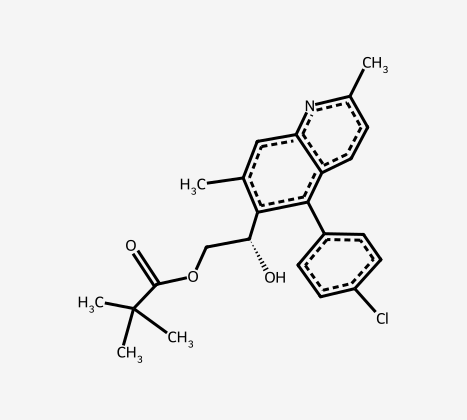 Cc1ccc2c(-c3ccc(Cl)cc3)c([C@H](O)COC(=O)C(C)(C)C)c(C)cc2n1